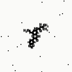 CCCc1cc(NC(=O)NC(C)C)ccc1OC(C(=O)O)c1ccc2c(c1)OCO2